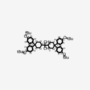 CC(C)(C)Oc1ccc(C2(c3ccc(OC(C)(C)C)cc3)CCC(C(C)(C)C3CCC(c4ccc(OC(C)(C)C)cc4)(c4ccc(OC(C)(C)C)cc4)CC3)CC2)cc1